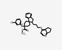 COC(=O)C1(Nc2cccc(Cl)c2)CCC2(CC1)c1ccccc1CC2CCCOc1ccnc2c1CCC2